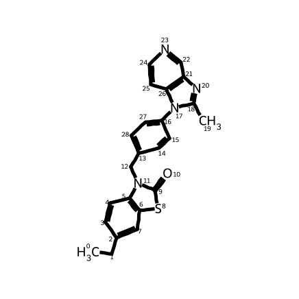 CCc1ccc2c(c1)sc(=O)n2Cc1ccc(-n2c(C)nc3cnccc32)cc1